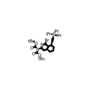 CC(C)[Si](C#Cc1cccc2cc(N(C(=O)OC(C)(C)C)C(=O)OC(C)(C)C)nc(Br)c12)(C(C)C)C(C)C